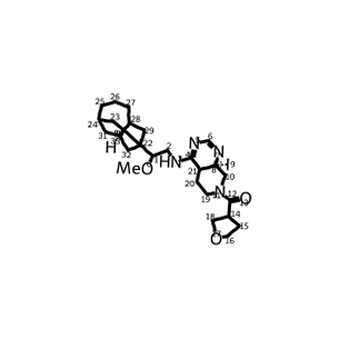 COC(CNC1=NC=N[C@@]2(I)CN(C(=O)C3CCOC3)CCC12)C12CC3CCCC(C1)[C@H](C3)C2